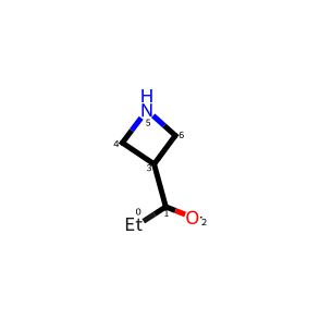 CCC([O])C1CNC1